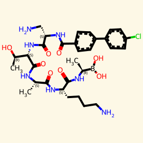 C[C@H](NC(=O)[C@H](CCCCN)NC(=O)[C@H](C)NC(=O)[C@@H](NC(=O)[C@H](CN)NC(=O)c1ccc(-c2ccc(Cl)cc2)cc1)[C@@H](C)O)B(O)O